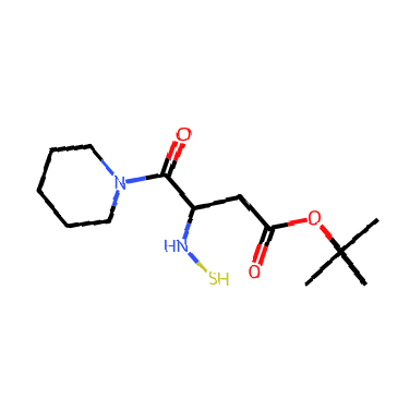 CC(C)(C)OC(=O)CC(NS)C(=O)N1CCCCC1